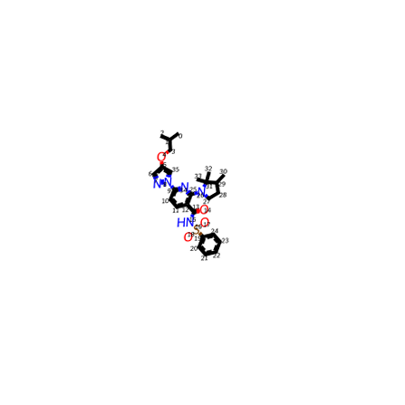 CC(C)COc1cnn(-c2ccc(C(=O)NS(=O)(=O)c3ccccc3)c(N3CCC(C)C3(C)C)n2)c1